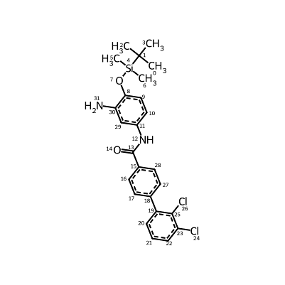 CC(C)(C)[Si](C)(C)Oc1ccc(NC(=O)c2ccc(-c3cccc(Cl)c3Cl)cc2)cc1N